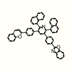 C1=Cc2ccccc2OC=1c1ccc(-c2cc(-c3ccc(-c4nc5ccccc5o4)cc3)c(-c3cccc4ccccc34)nc2-c2cccc3ccccc23)cc1